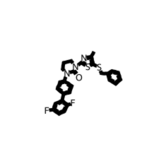 Cc1nc(N2CCCN(c3ccc(-c4cc(F)ccc4F)cc3)C2=O)sc1SCc1ccccc1